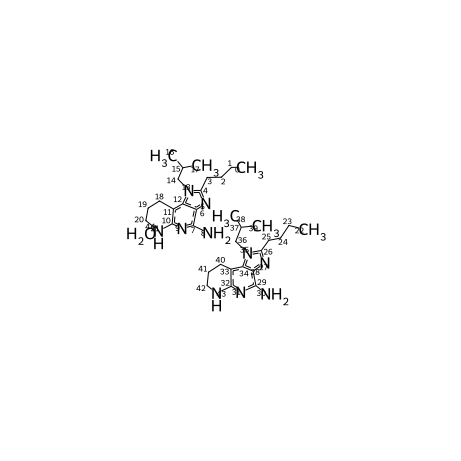 CCCCc1nc2c(N)nc3c(c2n1CC(C)C)CCCN3.CCCCc1nc2c(N)nc3c(c2n1CC(C)C)CCCN3.O